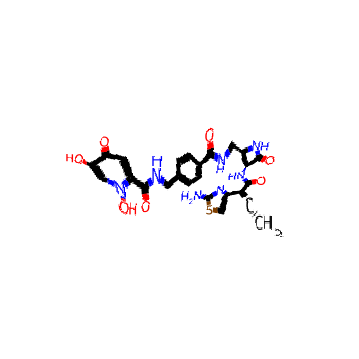 C=C=C(C(=O)N[C@@H]1C(=O)N[C@@H]1CNC(=O)c1ccc(CNC(=O)c2cc(=O)c(O)cn2O)cc1)c1csc(N)n1